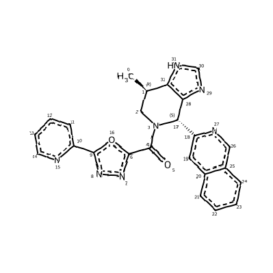 C[C@@H]1CN(C(=O)c2nnc(-c3ccccn3)o2)[C@@H](c2cc3ccccc3cn2)c2nc[nH]c21